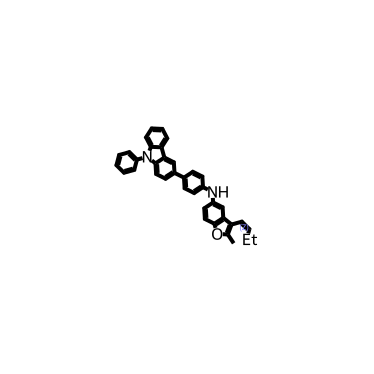 CC/C=C\c1c(C)oc2ccc(Nc3ccc(-c4ccc5c(c4)c4ccccc4n5-c4ccccc4)cc3)cc12